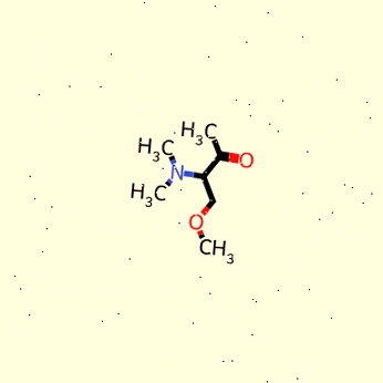 COCC(C(C)=O)N(C)C